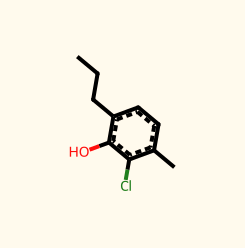 CCCc1ccc(C)c(Cl)c1O